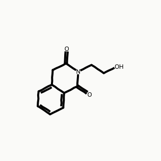 O=C1Cc2ccccc2C(=O)N1CCO